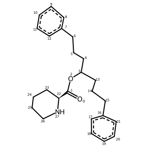 O=C(OC(CCCc1ccccc1)CCCc1ccccc1)[C@@H]1CCCCN1